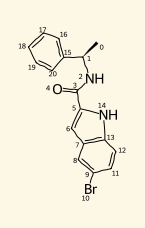 C[C@@H](NC(=O)c1cc2cc(Br)ccc2[nH]1)c1ccccc1